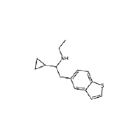 CCNC(Cc1ccc2sccc2c1)C1CC1